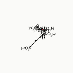 NC(=O)CC[C@H](NC(=O)CC[C@H](NC(=O)CC[C@H](NC(=O)CCCCCCCCCCCCCCCCC(=O)O)C(=O)O)C(=O)O)C(O)O